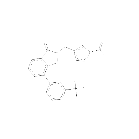 O=C(O)c1cc(CC2Cc3c(cccc3-c3cccc(C(F)(F)F)c3)C2=O)cs1